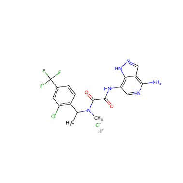 CC(c1ccc(C(F)(F)F)cc1Cl)N(C)C(=O)C(=O)Nc1cnc(N)c2cn[nH]c12.[Cl-].[H+]